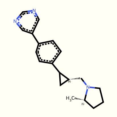 C[C@H]1CCCN1C[C@@H]1CC1c1ccc(-c2cncnc2)cc1